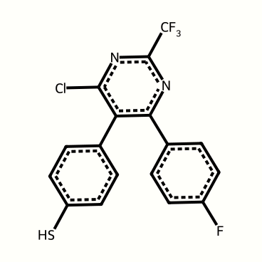 Fc1ccc(-c2nc(C(F)(F)F)nc(Cl)c2-c2ccc(S)cc2)cc1